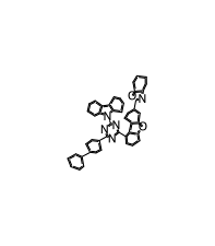 c1ccc(-c2ccc(-c3nc(-c4cccc5oc6cc(-c7nc8ccccc8o7)ccc6c45)nc(-n4c5ccccc5c5ccccc54)n3)cc2)cc1